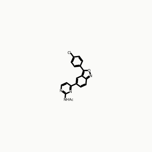 CC(=O)Nc1nccc(-c2ccc3noc(-c4ccc(Cl)cc4)c3c2)n1